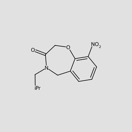 CC(C)CN1Cc2cccc([N+](=O)[O-])c2OCC1=O